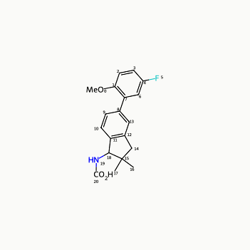 COc1ccc(F)cc1-c1ccc2c(c1)CC(C)(C)C2NC(=O)O